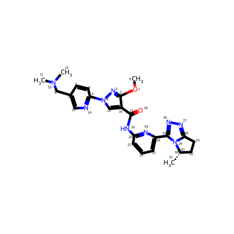 COc1nn(-c2ccc(CN(C)C)cn2)cc1C(=O)Nc1cccc(-c2nnc3n2[C@@H](C)CC3)n1